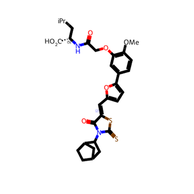 COc1ccc(-c2ccc(/C=C3\SC(=S)N(C4CC5CCC4C5)C3=O)o2)cc1OCC(=O)N[C@@H](CC(C)C)C(=O)O